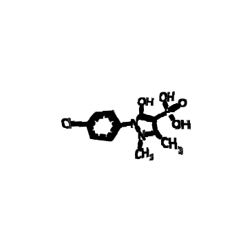 CC1C(P(=O)(O)O)=C(O)N(c2ccc(Cl)cc2)N1C